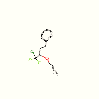 C=CCOC(CCc1ccccc1)C(F)(F)Cl